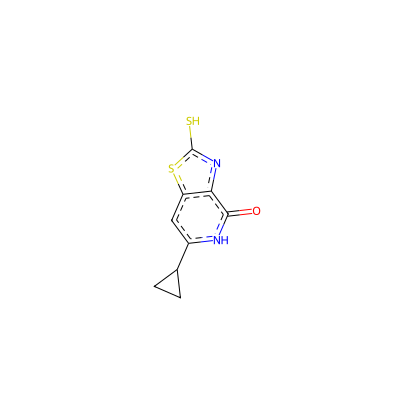 O=c1[nH]c(C2CC2)cc2sc(S)nc12